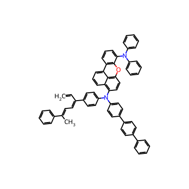 C=C/C(=C\C=C(/C)c1ccccc1)c1ccc(N(c2ccc(-c3ccc(-c4ccccc4)cc3)cc2)c2ccc3c4c(cccc24)-c2cccc(N(c4ccccc4)c4ccccc4)c2O3)cc1